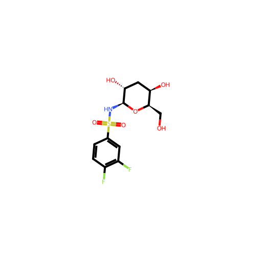 O=S(=O)(N[C@@H]1O[C@H](CO)[C@H](O)C[C@H]1O)c1ccc(F)c(F)c1